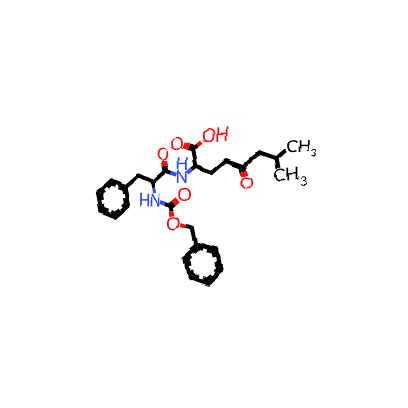 CC(C)CC(=O)CCC(NC(=O)C(Cc1ccccc1)NC(=O)OCc1ccccc1)C(=O)O